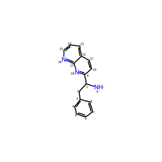 [NH]C(Cc1ccccc1)c1ccc2cccnc2n1